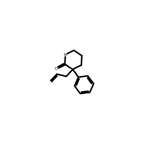 C=CCC1(c2ccccc2)CCC[N]C1=O